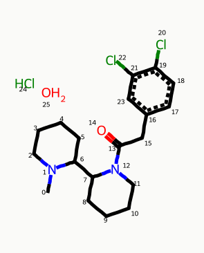 CN1CCCCC1C1CCCCN1C(=O)Cc1ccc(Cl)c(Cl)c1.Cl.O